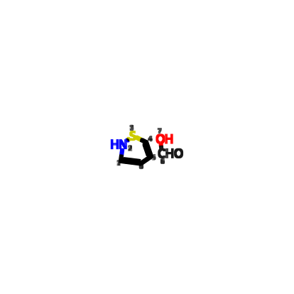 C1=CNSC=C1.O=CO